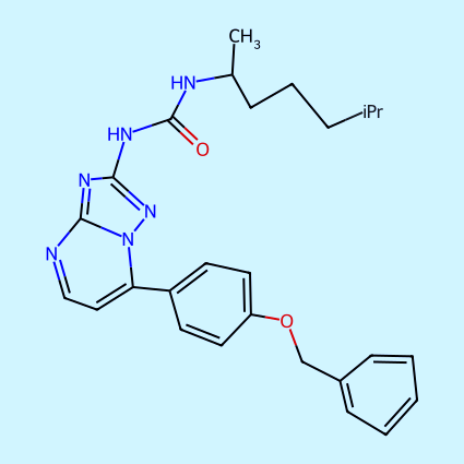 CC(C)CCCC(C)NC(=O)Nc1nc2nccc(-c3ccc(OCc4ccccc4)cc3)n2n1